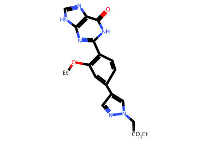 CCOC(=O)Cn1cc(-c2ccc(-c3nc4[nH]cnc4c(=O)[nH]3)c(OCC)c2)cn1